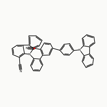 N#Cc1ccc(-c2ccc(-n3c4ccccc4c4ccccc43)cc2)cc1-c1ccccc1-n1c2ccccc2c2cccc(C#N)c21